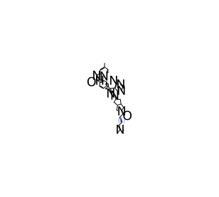 Cc1ccnc(N(C)C(=O)c2ccc(-c3nn(C4CC5CN(C(=O)/C=C/CN(C)C)CC5C4)c4ncnc(N)c34)cc2)c1